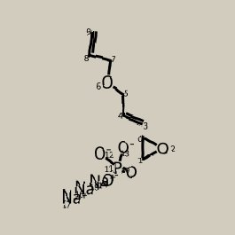 C1CO1.C=CCOCC=C.O=P([O-])([O-])[O-].[Na+].[Na+].[Na+]